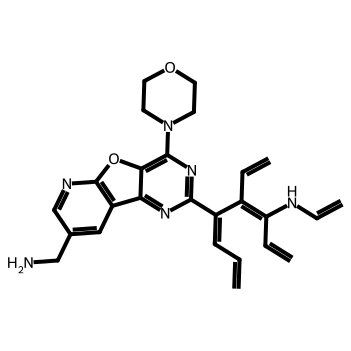 C=C/C=C(\C(C=C)=C(/C=C)NC=C)c1nc(N2CCOCC2)c2oc3ncc(CN)cc3c2n1